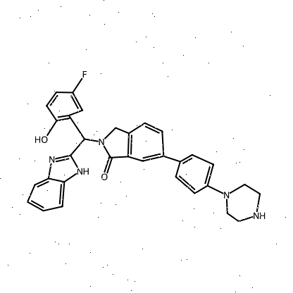 O=C1c2cc(-c3ccc(N4CCNCC4)cc3)ccc2CN1C(c1nc2ccccc2[nH]1)c1cc(F)ccc1O